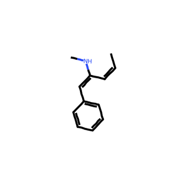 C/C=C\C(=C/c1ccccc1)NC